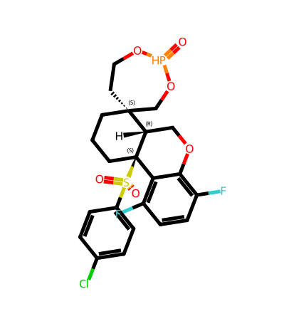 O=[PH]1OCC[C@]2(CCC[C@@]3(S(=O)(=O)c4ccc(Cl)cc4)c4c(F)ccc(F)c4OC[C@@H]23)CO1